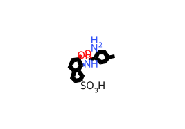 Cc1ccc(C(=O)Nc2c(O)ccc3ccc(S(=O)(=O)O)cc23)c(N)c1